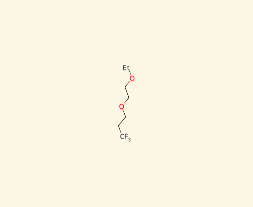 CCOCCOCCC(F)(F)F